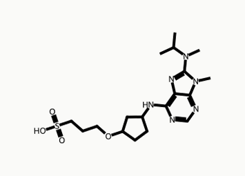 CC(C)N(C)c1nc2c(NC3CCC(OCCCS(=O)(=O)O)C3)ncnc2n1C